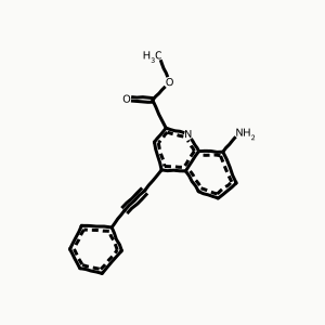 COC(=O)c1cc(C#Cc2ccccc2)c2cccc(N)c2n1